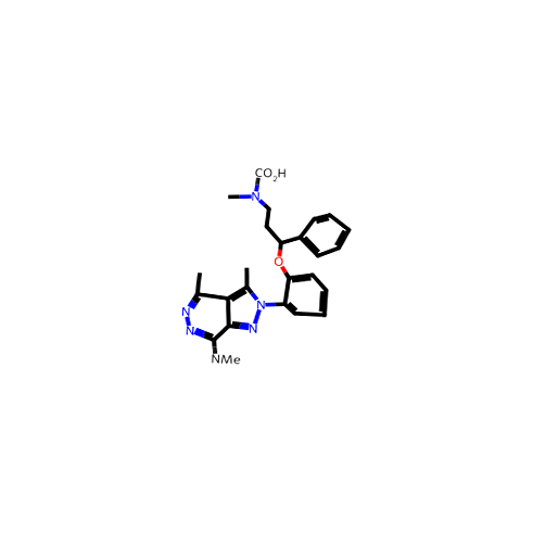 CNc1nnc(C)c2c(C)n(-c3ccccc3OC(CCN(C)C(=O)O)c3ccccc3)nc12